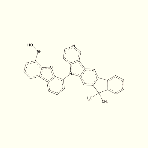 CC1(C)c2ccccc2-c2cc3c4cnccc4n(-c4cccc5c4oc4c(BO)cccc45)c3cc21